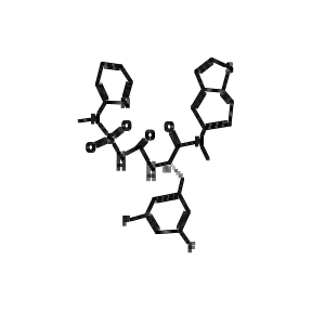 CN(C(=O)[C@H](Cc1cc(F)cc(F)c1)NC(=O)NS(=O)(=O)N(C)c1ccccn1)c1ccc2sccc2c1